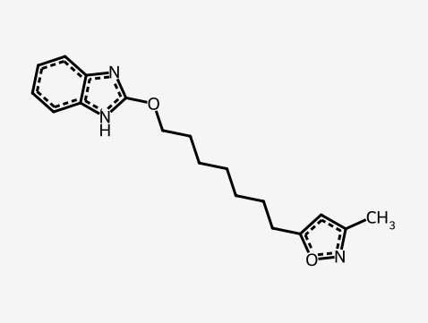 Cc1cc(CCCCCCCOc2nc3ccccc3[nH]2)on1